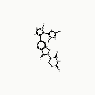 Cc1cc(-c2c(-c3ccc4c(c3)CN(C3CCC(=O)NC3=O)C4=O)cnn2C)n(C)n1